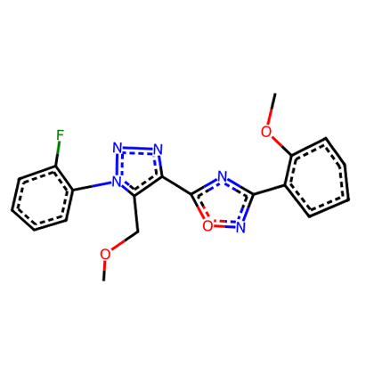 COCc1c(-c2nc(-c3ccccc3OC)no2)nnn1-c1ccccc1F